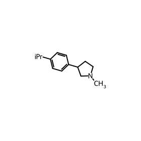 CC(C)c1ccc(C2CCN(C)C2)cc1